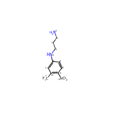 NCCCNc1ccc([N+](=O)[O-])c(C(F)(F)F)c1